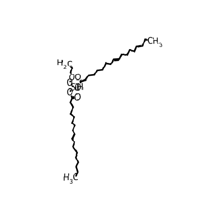 C=CCOO[SiH](OC(=O)CCCCCCCC=CCCCCCCCC)OC(=O)CCCCCCCC=CCCCCCCCC